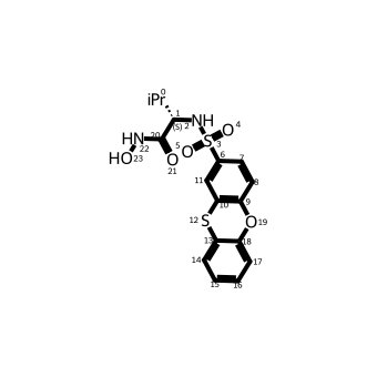 CC(C)[C@H](NS(=O)(=O)c1ccc2c(c1)Sc1ccccc1O2)C(=O)NO